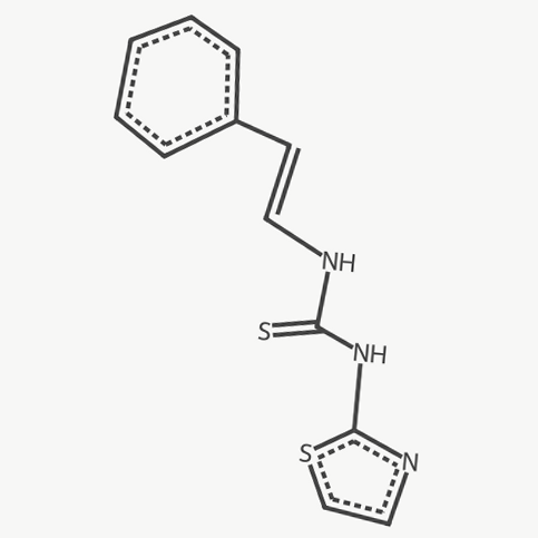 S=C(NC=Cc1ccccc1)Nc1nccs1